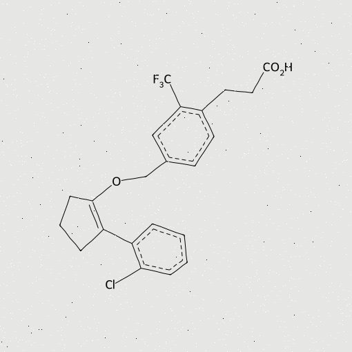 O=C(O)CCc1ccc(COC2=C(c3ccccc3Cl)CCC2)cc1C(F)(F)F